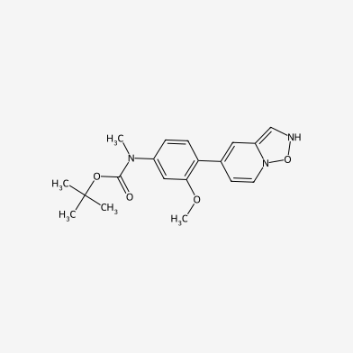 COc1cc(N(C)C(=O)OC(C)(C)C)ccc1C1=CC2=CNON2C=C1